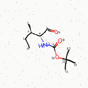 CC[C@@H](C)[C@H](C=O)NC(=O)OC(C)(C)C